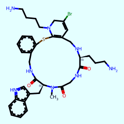 CN1C(=O)CNC(=O)[C@H](CCCN)NCC2=C(Sc3ccccc3CNC(=O)[C@@H]1Cc1c[nH]c3ccccc13)N(CCCCN)CC(Br)=C2